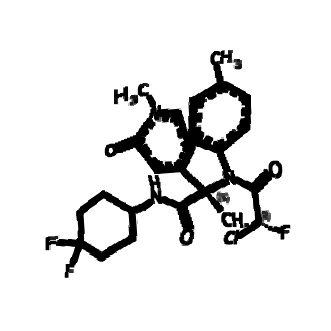 Cc1ccc(N(C(=O)[C@H](F)Cl)[C@](C)(C(=O)NC2CCC(F)(F)CC2)c2ccn(C)c(=O)c2)cc1